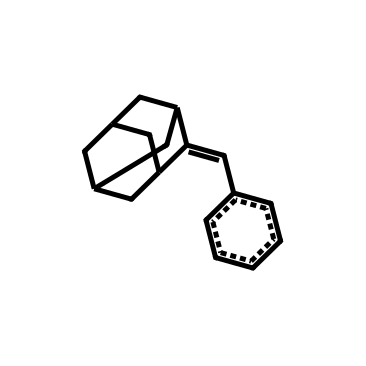 C(=C1C2CC3CC(C2)CC1C3)c1ccccc1